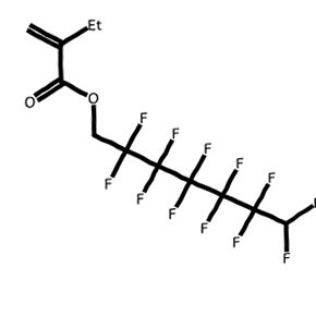 C=C(CC)C(=O)OCC(F)(F)C(F)(F)C(F)(F)C(F)(F)C(F)(F)C(F)F